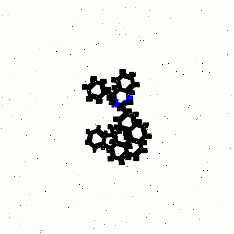 CC1(C)c2ccccc2-c2ccc3ccc4ccc5cc(-c6nc(-c7ccccc7)c7ccccc7n6)ccc5c4c3c21